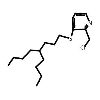 CCCCC(CCCC)CCCSc1cccnc1CCl